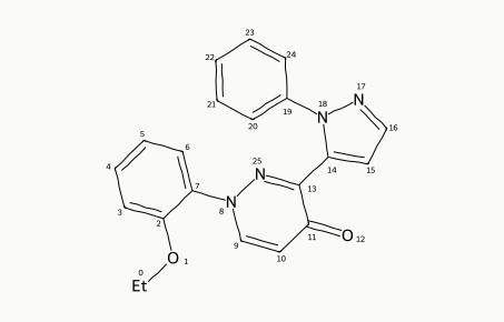 CCOc1ccccc1-n1ccc(=O)c(-c2ccnn2-c2ccccc2)n1